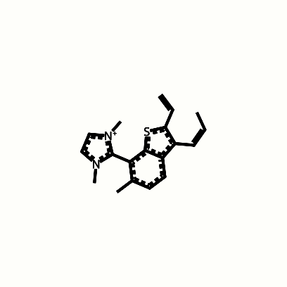 C=Cc1sc2c(-c3n(C)cc[n+]3C)c(C)ccc2c1/C=C\C